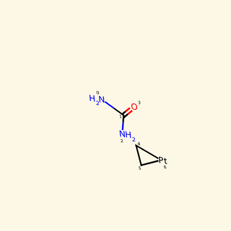 NC(N)=O.[CH2]1[CH2][Pt]1